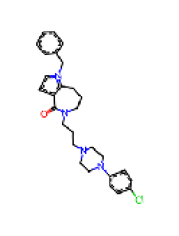 O=C1c2ccn(Cc3ccccc3)c2CCCN1CCCN1CCN(c2ccc(Cl)cc2)CC1